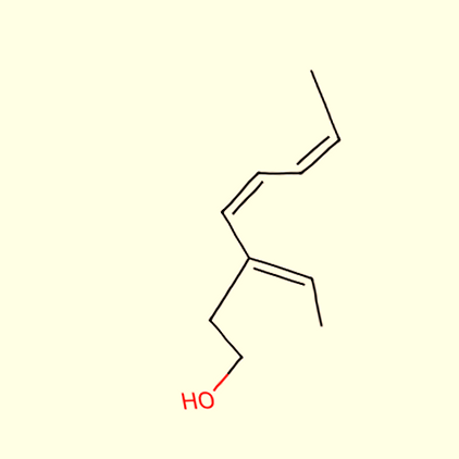 CC=C(/C=C\C=C/C)CCO